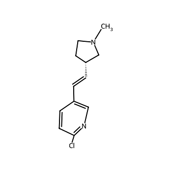 CN1CC[C@@H](/C=C/c2ccc(Cl)nc2)C1